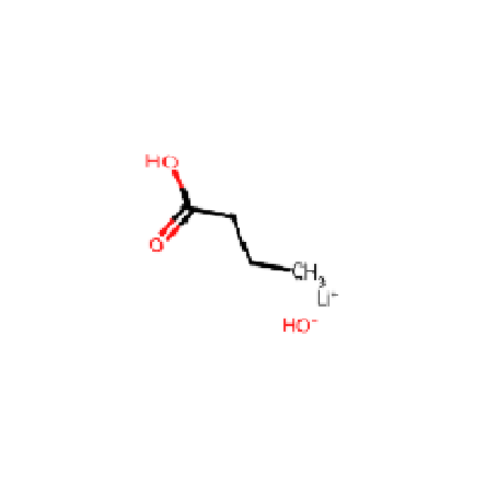 CCCC(=O)O.[Li+].[OH-]